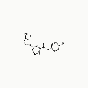 N[C@@H]1CCN(c2cnnc(NCc3ccc(F)cc3)c2)C1